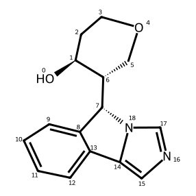 O[C@H]1CCOC[C@@H]1[C@H]1c2ccccc2-c2cncn21